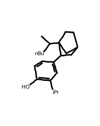 CCCCC(C)C12CCC(CC1c1ccc(O)c(C(C)C)c1)C2